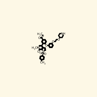 COC(=O)c1ccc(Oc2cccc(OCCOC3CCNCC3)c2)c(-c2cn(C)c(=O)c3c2ccn3S(=O)(=O)c2ccc(C)cc2)c1